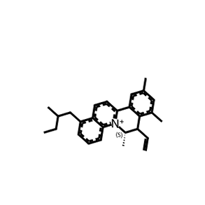 C=CC1c2c(C)cc(C)cc2-c2ccc3c(CC(C)CC)cccc3[n+]2[C@H]1C